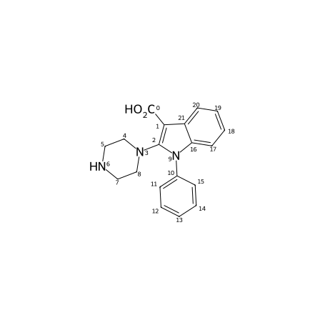 O=C(O)c1c(N2CCNCC2)n(-c2ccccc2)c2ccccc12